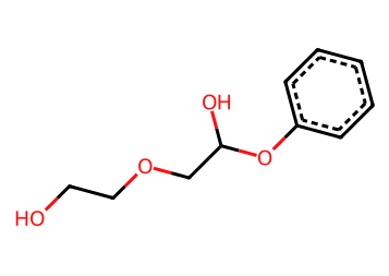 OCCOCC(O)Oc1ccccc1